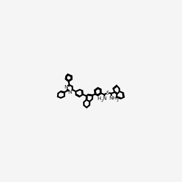 NC(SC(N)c1cccc(C2=CC(C3=CCC(C4CC(c5ccccc5)=NC(C5=CCCCC5)=N4)C=C3)=C3CCCCC3C2)c1)C1=C2C=CC=CC2CC=C1